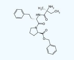 CC[C@](C)(N)C(=O)N[C@@H](CCc1ccccc1)C(=O)N1CCC[C@@H]1C(=O)OCc1ccccc1